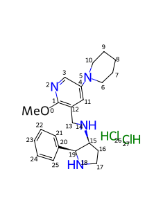 COc1ncc(N2CCCCC2)cc1CN[C@H]1CCN[C@H]1c1ccccc1.Cl.Cl